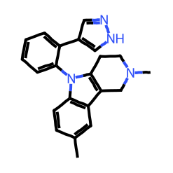 Cc1ccc2c(c1)c1c(n2-c2ccccc2-c2cn[nH]c2)CCN(C)C1